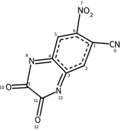 N#Cc1cc2c(cc1[N+](=O)[O-])=NC(=O)C(=O)N=2